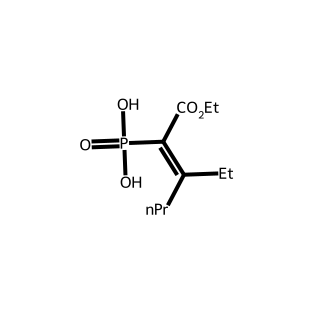 CCCC(CC)=C(C(=O)OCC)P(=O)(O)O